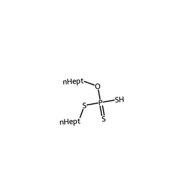 CCCCCCCOP(=S)(S)SCCCCCCC